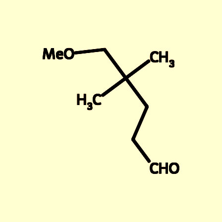 COCC(C)(C)CCC=O